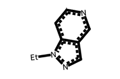 CCn1ncc2cn[c]cc21